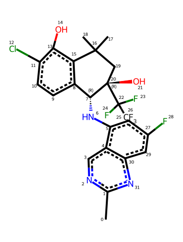 Cc1ncc2c(N[C@@H]3c4ccc(Cl)c(O)c4C(C)(C)C[C@]3(O)C(F)(F)C(F)(F)F)cc(F)cc2n1